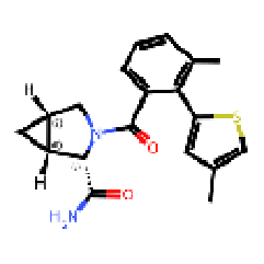 Cc1csc(-c2c(C)cccc2C(=O)N2C[C@H]3C[C@H]3[C@H]2C(N)=O)c1